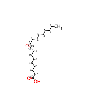 CCCCCCCCC1O[C@H]1CCCCCCCC(=O)O